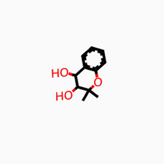 CC1(C)Oc2ccccc2C(O)C1O